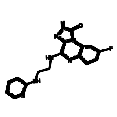 O=c1[nH]nc2c(NCCNc3ccccn3)nc3ccc(F)cc3n12